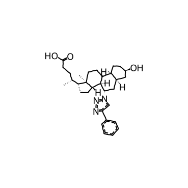 C[C@H](CCC(=O)O)[C@H]1CC[C@H]2[C@@H]3[C@@H](n4cc(-c5ccccc5)nn4)C[C@@H]4C[C@H](O)CC[C@]4(C)[C@H]3CC[C@]12C